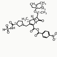 CC[Si](CC)(CC)O[C@H](C)C1C(=O)N2C(C(=O)OC(=O)c3ccc([N+](=O)[O-])cc3)=C(CN3CC[C@H](C(=O)NS(N)(=O)=O)C3)[C@H](C)[C@H]12